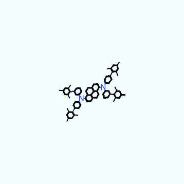 Cc1cc(C)c(-c2ccc(N(c3cccc(-c4c(C)cc(C)cc4C)c3)c3ccc4ccc5c(N(c6ccc(-c7c(C)cc(C)cc7C)cc6)c6cccc(-c7c(C)cc(C)cc7C)c6)ccc6ccc3c4c65)cc2)c(C)c1